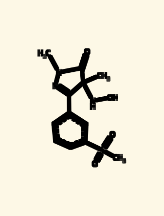 CN1N=C(c2cccc(S(C)(=O)=O)c2)C(C)(NO)C1=O